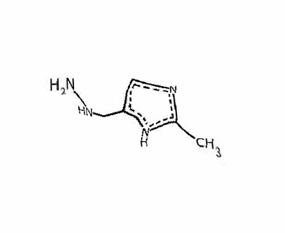 Cc1ncc(NN)[nH]1